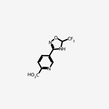 O=C(O)c1ccc(C2=NOC(C(F)(F)F)N2)cn1